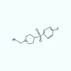 C[C](C)CN1CCC(S(=O)(=O)c2ccc(F)cc2)CC1